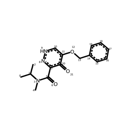 CC(C)N(C)C(=O)c1n[nH]cc(OCc2ccccc2)c1=O